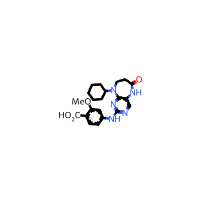 COc1cc(Nc2ncc3c(n2)N(C2CCCCC2)CCC(=O)N3)ccc1C(=O)O